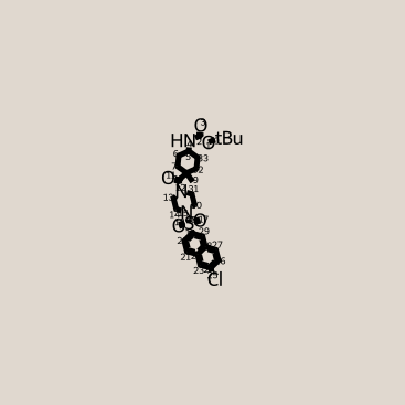 CC(C)(C)OC(=O)NC1CCC(C)(C(=O)N2CCN(S(=O)(=O)c3ccc4cc(Cl)ccc4c3)CC2)CC1